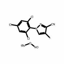 CC(C)(C)ON=O.N#Cc1nn(-c2c(Cl)cc(Cl)cc2Cl)cc1I